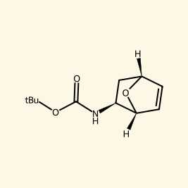 CC(C)(C)OC(=O)N[C@H]1C[C@@H]2C=C[C@H]1O2